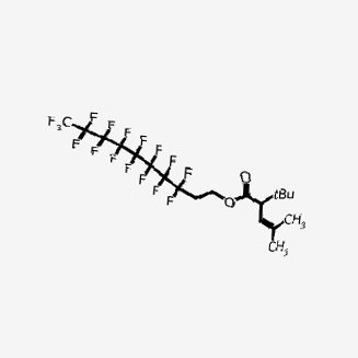 CC(C)=CC(C(=O)OCCC(F)(F)C(F)(F)C(F)(F)C(F)(F)C(F)(F)C(F)(F)C(F)(F)C(F)(F)F)C(C)(C)C